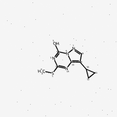 CSc1nc(O)n2ncc(C3CC3)c2n1